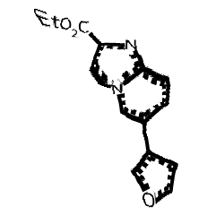 CCOC(=O)c1cn2cc(-c3ccoc3)ccc2n1